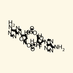 Nc1ncnc2c1ncn2[C@@H]1O[C@@H]2COS(=O)O[C@@H]3C[C@@H](CO[PH](=O)O[C@H]2[C@H]1F)O[C@H]3n1cnc2c(N)ncnc21